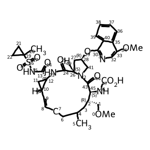 COC[C@@H]1CC(C)CCC=C[C@@H]2C[C@@]2(C(=O)NS(=O)(=O)C2(C)CC2)NC(=O)[C@@H]2C[C@@H](Oc3ncc(OC)c4ccccc34)CN2C(=O)[C@H]1NC(=O)O